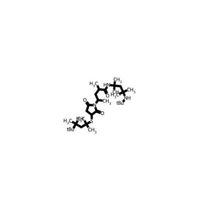 CC(CC(C)N1C(=O)CC(SC(C)(C)CC(C)(C)C(C)(C)C)C1=O)C(=O)NC(C)(C)CC(C)(C)NC(C)(C)C